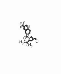 CC(C)C1CC(C=O)CN1C(=O)N1CCc2ncc(C(F)(F)F)cc2C1